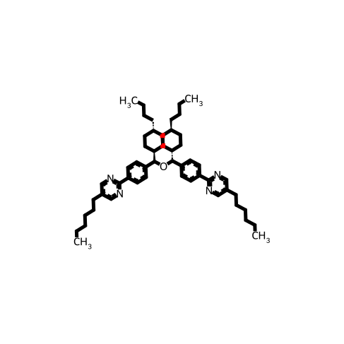 CCCCCCc1cnc(-c2ccc(C(OC(c3ccc(-c4ncc(CCCCCC)cn4)cc3)[C@H]3CC[C@H](CCCC)CC3)[C@H]3CC[C@H](CCCC)CC3)cc2)nc1